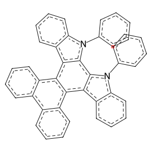 c1ccc(-n2c3ccccc3c3c4c5ccccc5c5ccccc5c4c4c5ccccc5n(-c5ccccc5)c4c32)cc1